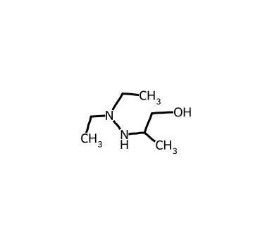 CCN(CC)NC(C)CO